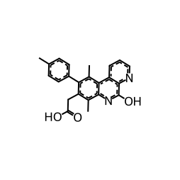 Cc1ccc(-c2c(CC(=O)O)c(C)c3nc(O)c4ncccc4c3c2C)cc1